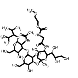 COCCOC(=O)NCC(=O)N[C@H]1C([C@H](O)[C@H](O)CO)O[C@](C)(O[C@@H]2C(O)[C@H](O[C@@H]3C(NC(C)=O)[C@@H](OC(C(C)C)C(C)C)OC(CO)[C@@H]3O)OC(CO)[C@@H]2O)C[C@H]1O